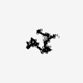 C=C1C[C@H]2C(O)N(C(=O)OCc3ccc(NC(=O)[C@H](CCCNC(N)=O)NC(=O)[C@@H](NC(=O)CCCCCN4C(=O)C=CC4=O)C(C)C)cc3)c3cc(OCCCCCOc4cc5c(cc4OC)C(=O)N4CC(=C)C[C@H]4C(O)N5C(=O)OCC4(SSCC)CCCC4)c(OC)cc3C(=O)N2C1